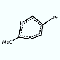 [CH2]C(C)c1ccc(OC)nc1